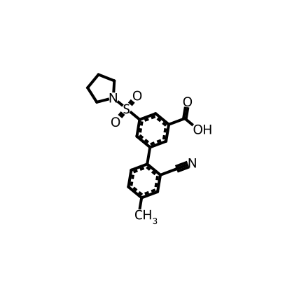 Cc1ccc(-c2cc(C(=O)O)cc(S(=O)(=O)N3CCCC3)c2)c(C#N)c1